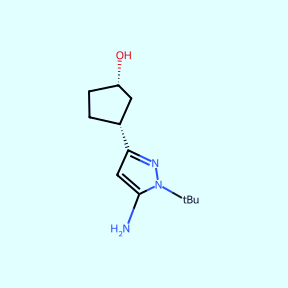 CC(C)(C)n1nc([C@@H]2CC[C@H](O)C2)cc1N